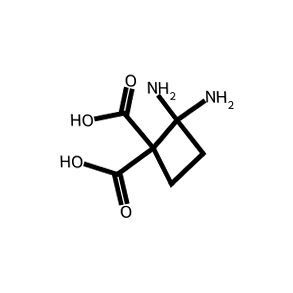 NC1(N)CCC1(C(=O)O)C(=O)O